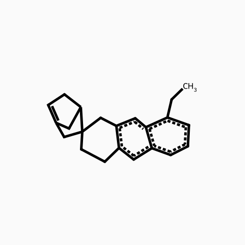 CCc1cccc2cc3c(cc12)CC1(CC3)CC2=CCC1C2